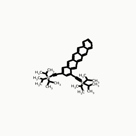 CC(C)[Si](C#Cc1cc(C#C[Si](C(C)C)(C(C)C)C(C)C)c2cc3cc4cc5ccccc5cc4cc3cc2c1)(C(C)C)C(C)C